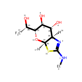 CCNC1=N[C@@H]2[C@@H](O)[C@H](O)[C@@H]([C@@H](O)C(F)(F)F)O[C@@H]2S1